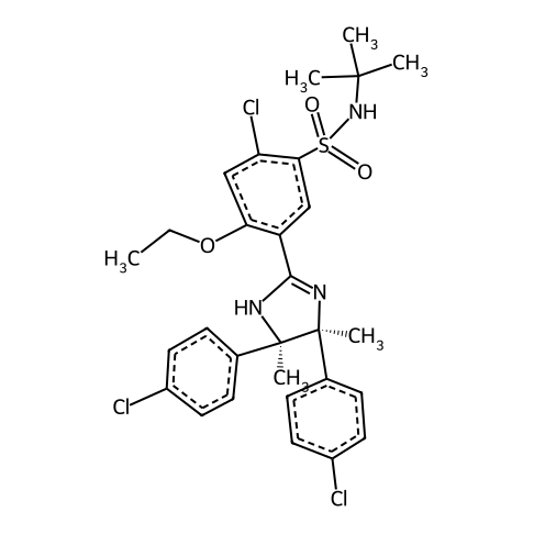 CCOc1cc(Cl)c(S(=O)(=O)NC(C)(C)C)cc1C1=N[C@@](C)(c2ccc(Cl)cc2)[C@@](C)(c2ccc(Cl)cc2)N1